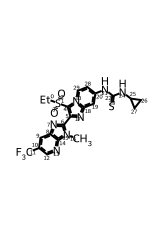 CCS(=O)(=O)c1c(-c2nc3cc(C(F)(F)F)cnc3n2C)nc2cc(NC(=S)NC3CC3)ccn12